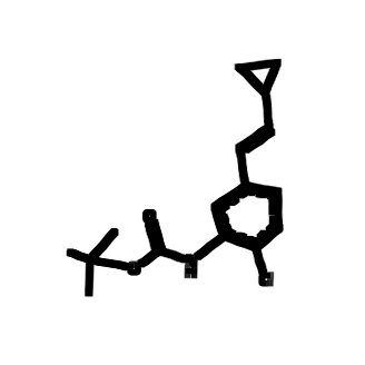 CC(C)(C)OC(=O)Nc1cc(C=CC2CC2)ccc1Cl